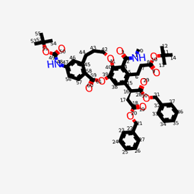 CNC(=O)c1c(CCC(=O)OC(C)(C)C)c([C@H](CC(=O)OCc2ccccc2)C(=O)OCc2ccccc2)cc2c1OCCCc1cc(NC(=O)OC(C)(C)C)ccc1C(=O)O2